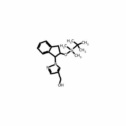 CC(C)(C)[Si](C)(C)OC1Cc2ccccc2C1n1cc(CO)cn1